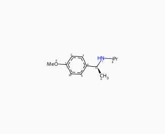 COc1ccc([C@H](C)NC(C)C)cc1